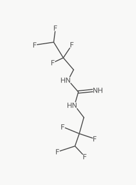 N=C(NCC(F)(F)C(F)F)NCC(F)(F)C(F)F